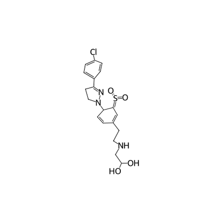 O=S(=O)=C1C=C(CCNCC(O)O)C=CC1N1CCC(c2ccc(Cl)cc2)=N1